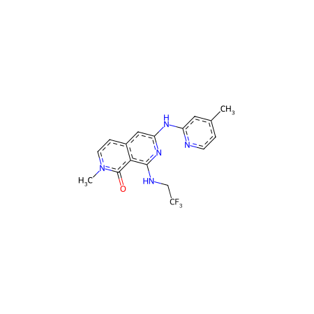 Cc1ccnc(Nc2cc3ccn(C)c(=O)c3c(NCC(F)(F)F)n2)c1